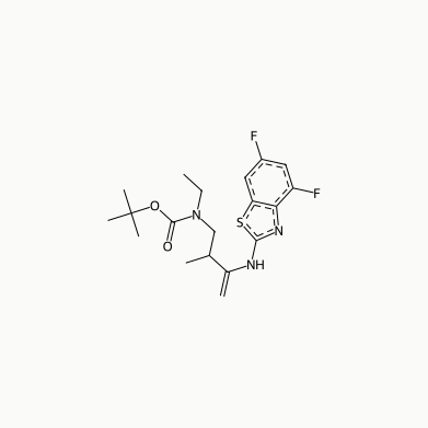 C=C(Nc1nc2c(F)cc(F)cc2s1)C(C)CN(CC)C(=O)OC(C)(C)C